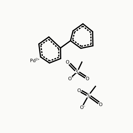 CS(=O)(=O)[O-].CS(=O)(=O)[O-].[Pd+2].c1ccc(-c2ccccc2)cc1